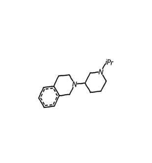 CC(C)N1CCCC(N2CCc3ccccc3C2)C1